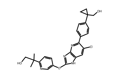 CC(C)(CO)c1ccc(Oc2nc3nc(-c4ccc(C5(CO)CC5)cc4)c(Cl)cc3[nH]2)cn1